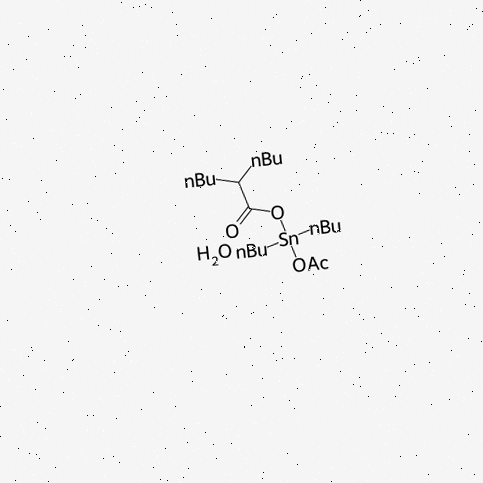 CCCCC(CCCC)C(=O)[O][Sn]([CH2]CCC)([CH2]CCC)[O]C(C)=O.O